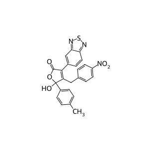 Cc1ccc(C2(O)OC(=O)C(c3ccc4nsnc4c3)=C2Cc2ccc([N+](=O)[O-])cc2)cc1